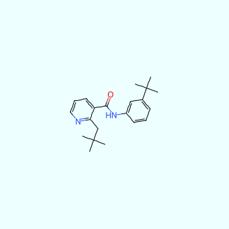 CC(C)(C)Cc1ncccc1C(=O)Nc1cccc(C(C)(C)C)c1